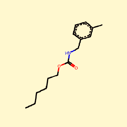 CCCCCCOC(=O)NCc1cccc(C)c1